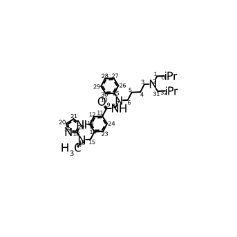 CC(C)CN(CCCCN(NC(=O)c1ccc(CN(C)c2ncc[nH]2)cc1)c1ccccc1)CC(C)C